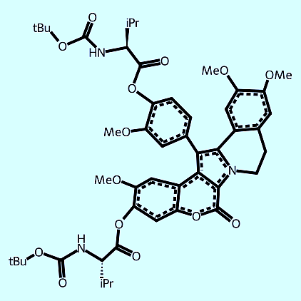 COc1cc2c(cc1OC)-c1c(-c3ccc(OC(=O)[C@@H](NC(=O)OC(C)(C)C)C(C)C)c(OC)c3)c3c4cc(OC)c(OC(=O)[C@@H](NC(=O)OC(C)(C)C)C(C)C)cc4oc(=O)c3n1CC2